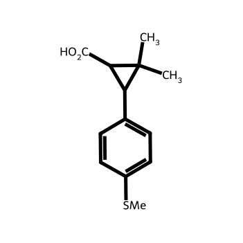 CSc1ccc(C2C(C(=O)O)C2(C)C)cc1